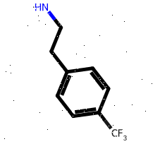 [NH]CCc1ccc(C(F)(F)F)cc1